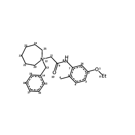 CCOc1ccc(C)c(NC(=O)C[N+]2(Cc3ccccc3)CCCCCC2)c1